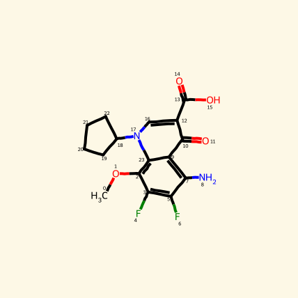 COc1c(F)c(F)c(N)c2c(=O)c(C(=O)O)cn(C3CCCC3)c12